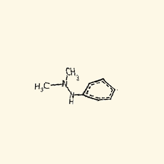 CN(C)Nc1cc[c]cc1